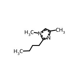 CCCCc1nc(C)cn1C